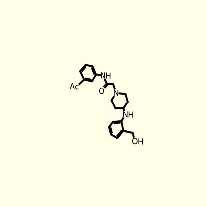 CC(=O)c1cccc(NC(=O)CN2CCC(Nc3ccccc3CO)CC2)c1